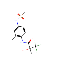 Cc1cc(NS(C)(=O)=O)ccc1NC(=O)C(C)(O)C(F)(F)F